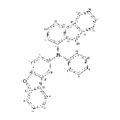 c1ccc(N(c2ccc3oc4ccccc4c3c2)c2cccc3c2oc2ccccc23)cc1